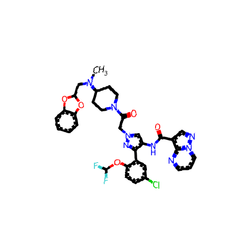 CN(CC1Oc2ccccc2O1)C1CCN(C(=O)Cn2cc(NC(=O)c3cnn4cccnc34)c(-c3cc(Cl)ccc3OC(F)F)n2)CC1